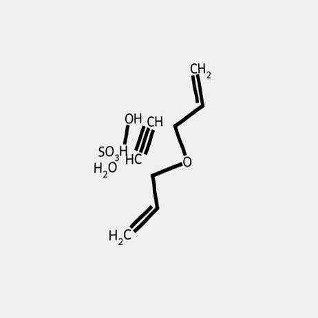 C#C.C=CCOCC=C.O.O=S(=O)(O)O